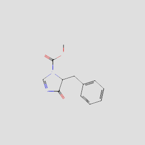 CC(C)(C)OC(=O)N1C=NC(=O)C1Cc1ccccc1